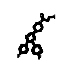 O=C(CCI)N1CCC(c2cnc(-c3ccc(F)cc3)c(-c3ccc(F)cc3)n2)CC1